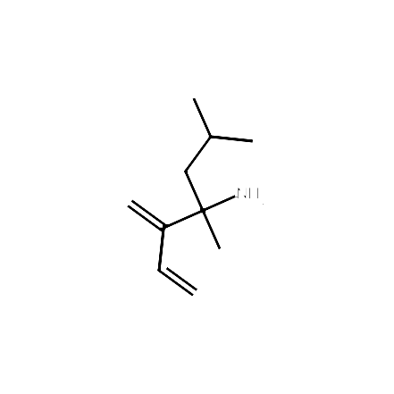 C=CC(=C)C(C)(N)CC(C)C